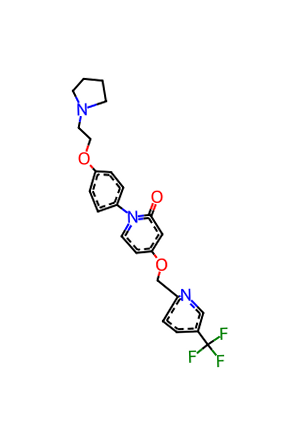 O=c1cc(OCc2ccc(C(F)(F)F)cn2)ccn1-c1ccc(OCCN2CCCC2)cc1